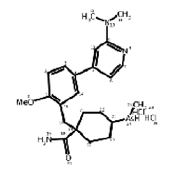 COc1ccc(-c2ccnc(N(C)C)c2)cc1CC1(C(N)=O)CCC([AsH]C)CC1.Cl.Cl